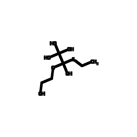 CCSC(O)(OCCO)C(O)(O)O